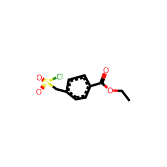 CCOC(=O)c1ccc(CS(=O)(=O)Cl)cc1